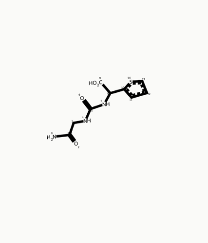 NC(=O)CNC(=O)NC(C(=O)O)c1cccs1